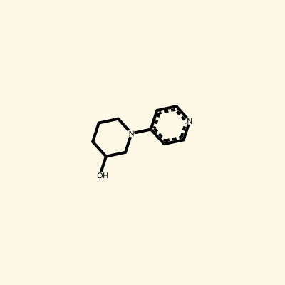 OC1CCCN(c2ccncc2)C1